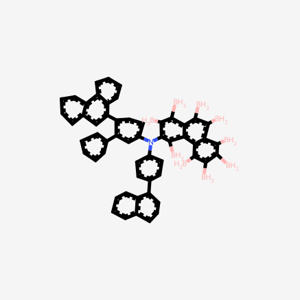 Bc1c(B)c(B)c2c(c1B)c(B)c(B)c1c(B)c(B)c(N(c3ccc(-c4cccc5ccccc45)cc3)c3ccc(-c4cc5ccccc5c5ccccc45)c(-c4ccccc4)c3)c(B)c12